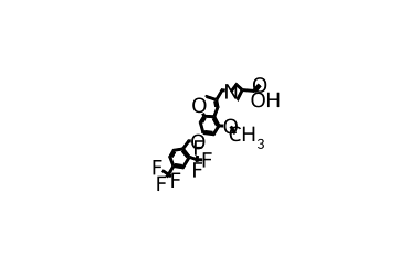 COc1cc(OCc2ccc(C(F)(F)F)cc2C(F)(F)F)cc2c1C=C(CN1CC(C(=O)O)C1)CO2